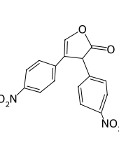 O=C1OC=C(c2ccc([N+](=O)[O-])cc2)C1c1ccc([N+](=O)[O-])cc1